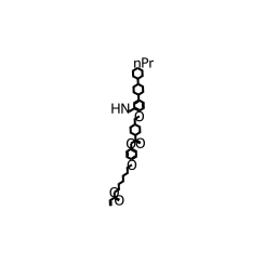 C=CC(=O)OCCCCCCOc1ccc(OC(=O)C2CCC(COc3ccc(C4CCC(C5CCC(CCC)CC5)CC4)cc3C=N)CC2)cc1